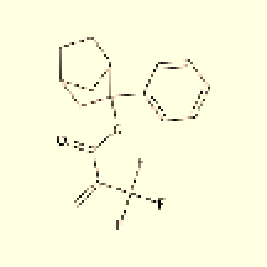 C=C(C(=O)OC1(c2ccccc2)CC2CCC1C2)C(F)(F)F